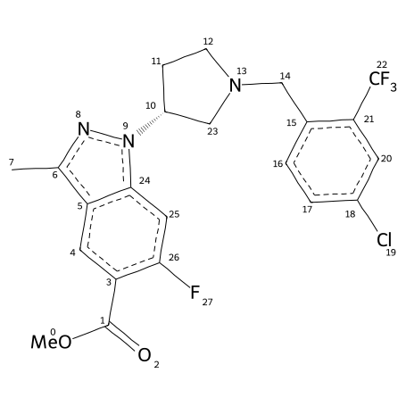 COC(=O)c1cc2c(C)nn([C@@H]3CCN(Cc4ccc(Cl)cc4C(F)(F)F)C3)c2cc1F